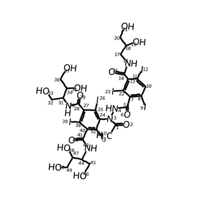 CC(=O)N(NC(=O)c1c(I)cc(I)c(C(=O)NCC(O)CO)c1I)c1c(I)c(C(=O)NC(CO)C(O)CO)c(I)c(C(=O)NC(CO)C(O)CO)c1I